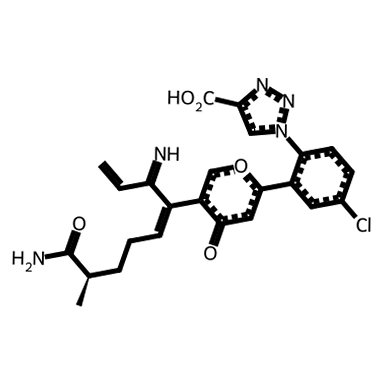 C=CC(=N)/C(=C\CC[C@@H](C)C(N)=O)c1coc(-c2cc(Cl)ccc2-n2cc(C(=O)O)nn2)cc1=O